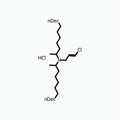 CCCCCCCCCCCCCCCC(C)N(C/C=C/Cl)C(C)CCCCCCCCCCCCCCC.Cl